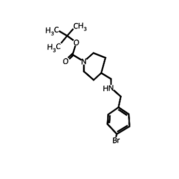 CC(C)(C)OC(=O)N1CCC(CNCc2ccc(Br)cc2)CC1